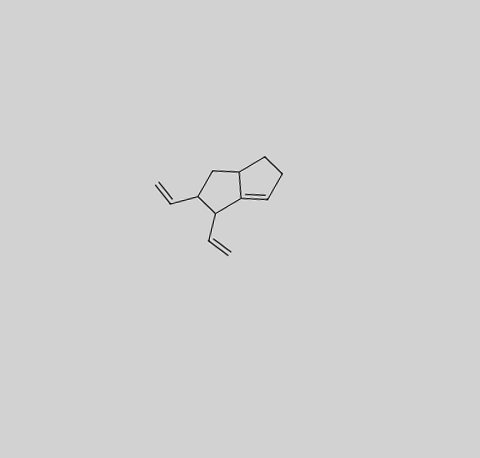 C=CC1CC2CCC=C2C1C=C